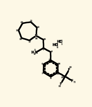 Cl.Cl.NC(Cc1cccc(C(F)(F)F)c1)CN1CCCCCC1